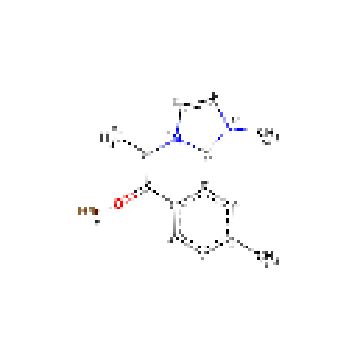 Br.Cc1ccc(C(=O)C(C)N2C=CN(C)C2)cc1